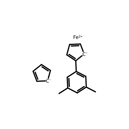 Cc1cc(C)cc(-c2ccc[cH-]2)c1.[Fe+2].c1cc[cH-]c1